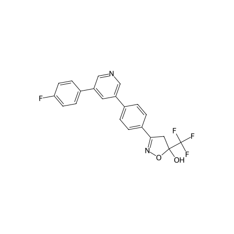 OC1(C(F)(F)F)CC(c2ccc(-c3cncc(-c4ccc(F)cc4)c3)cc2)=NO1